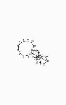 CN1CCCCCCCCCCC1=NC1C2CC3CC(C2)CC1C3